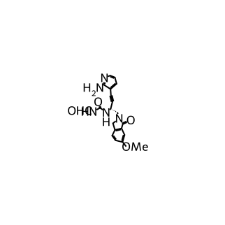 COc1ccc2c(c1)C(=O)N(C[C@@H](C#Cc1cccnc1N)NC(=O)NC=O)C2